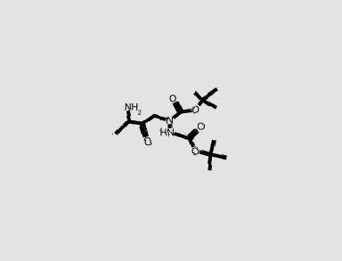 [CH2]C(N)C(=O)CN(NC(=O)OC(C)(C)C)C(=O)OC(C)(C)C